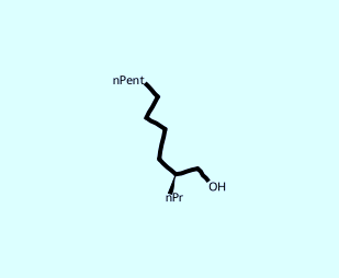 CCCCCCCCC[C@@H](CO)CCC